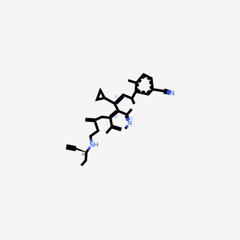 C#C[C@H](CC)NCCC(=C)C/C(C(=C)C)=C(C(=C/C(C)c1cc(C#N)ccc1C)\C1CC1)/C(C)=N\C